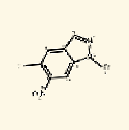 CC(C)n1ncc2cc(F)c([N+](=O)[O-])cc21